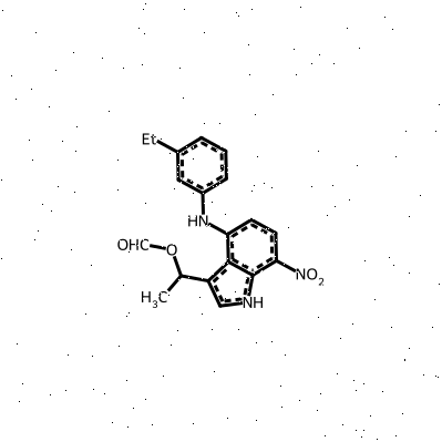 CCc1cccc(Nc2ccc([N+](=O)[O-])c3[nH]cc(C(C)OC=O)c23)c1